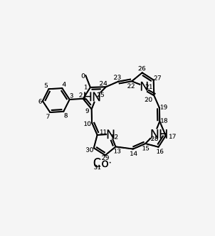 Cc1c(-c2ccccc2)c2cc3nc(cc4ccc(cc5nc(cc1[nH]2)C=C5)[nH]4)C=C3.[Co]